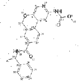 COC(=O)Nc1cc2c(cn1)OCc1cc(C(=O)NC(C)c3ccccc3)ccc1-2